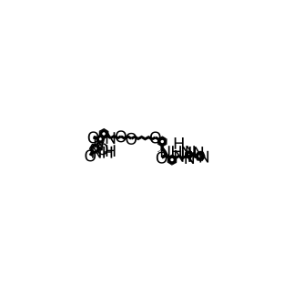 C[C@@H](NC(=O)c1cccc(NCc2nnc(-c3ccncn3)n2C)c1)c1cccc(OCCCCCCOCCOCCNc2cccc3c2CN(C2CCC(=O)NC2=O)C3=O)c1